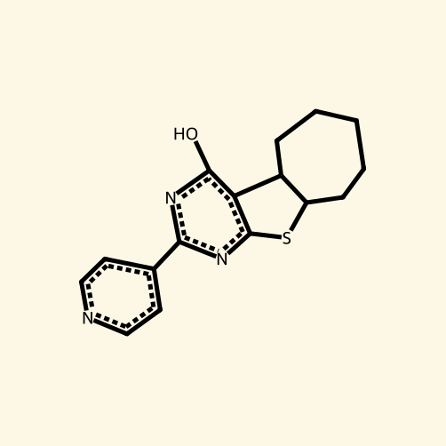 Oc1nc(-c2ccncc2)nc2c1C1CCCCCC1S2